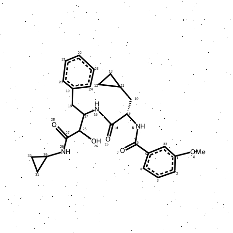 COc1cccc(C(=O)N[C@@H](CC2CC2)C(=O)NC(Cc2ccccc2)C(O)C(=O)NC2CC2)c1